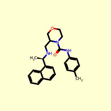 Cc1ccc(NC(=O)N2CCOCC2CN[C@H](C)c2cccc3ccccc23)cc1